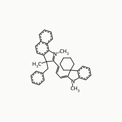 CN1/C(=C/C=C/C2=[N+](C)c3c(ccc4ccccc34)C2(C)Cc2ccccc2)C2(CCCCC2)c2ccccc21